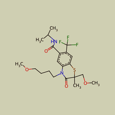 COCCCCN1C(=O)C(C)(COC)Sc2cc(C(F)(F)F)c(C(=O)NC(C)C)cc21